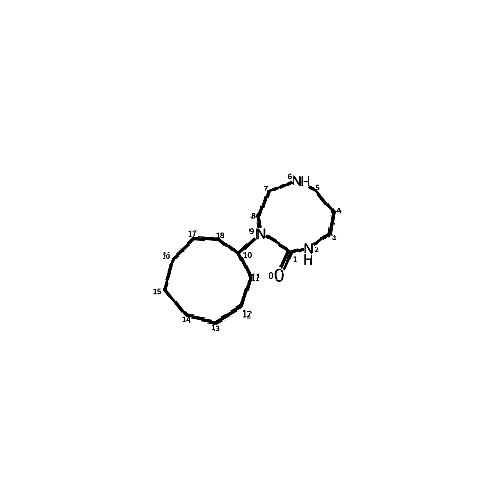 O=C1NCCCNCCN1C1CCCCCCCC1